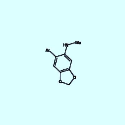 CC(=O)c1cc2c(cc1NC(C)(C)C)OCO2